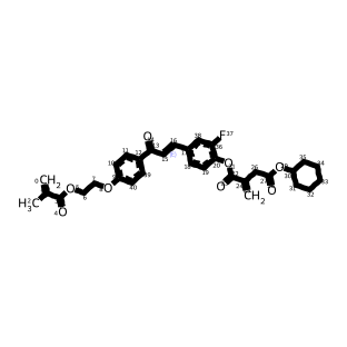 C=C(C)C(=O)OCCOc1ccc(C(=O)/C=C/c2ccc(OC(=O)C(=C)CC(=O)OC3CCCCC3)c(F)c2)cc1